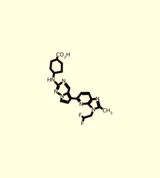 Cc1nc2ccc(-c3ccn4nc(NC5CCC(C(=O)O)CC5)ncc34)nc2n1CC(F)F